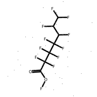 O=C(OF)C(F)(F)C(F)(F)C(F)(F)C(F)C(F)C(F)F